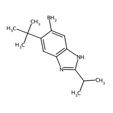 Bc1cc2[nH]c(C(C)C)nc2cc1C(C)(C)C